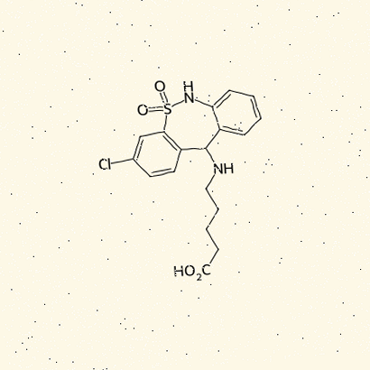 O=C(O)CCCCNC1c2ccccc2NS(=O)(=O)c2cc(Cl)ccc21